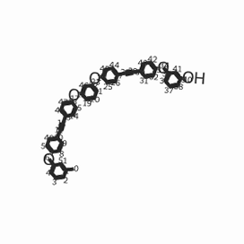 Cc1cccc(Oc2ccc(C#Cc3ccc(Oc4cccc(Oc5ccc(C#Cc6ccc(Oc7cccc(O)c7)cc6)cc5)c4)cc3)cc2)c1